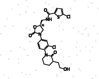 O=C(NC[C@H]1CN(c2ccc(N3CCCC(CCO)C3=O)c(Cl)c2)C(=O)O1)c1ccc(Cl)s1